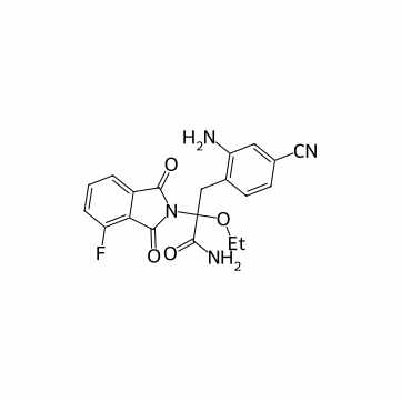 CCOC(Cc1ccc(C#N)cc1N)(C(N)=O)N1C(=O)c2cccc(F)c2C1=O